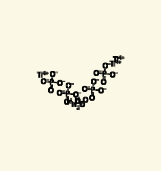 O.O.O.O=P([O-])([O-])[O-].O=P([O-])([O-])[O-].O=P([O-])([O-])[O-].O=P([O-])([O-])[O-].[Ti+4].[Ti+4].[Ti+4]